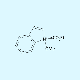 CCOC(=O)[N@+]1(OC)C=Cc2ccccc21